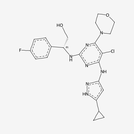 OC[C@H](Nc1nc(Nc2cc(C3CC3)[nH]n2)c(Cl)c(N2CCOCC2)n1)c1ccc(F)cc1